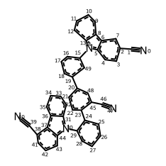 N#Cc1ccc2c(c1)c1ccccc1n2-c1cccc(-c2ccc(-c3ccccc3-n3c4ccccc4c4c(C#N)cccc43)c(C#N)c2)c1